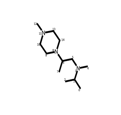 CC(C)N(C)CC(C)N1CCN(C)CC1